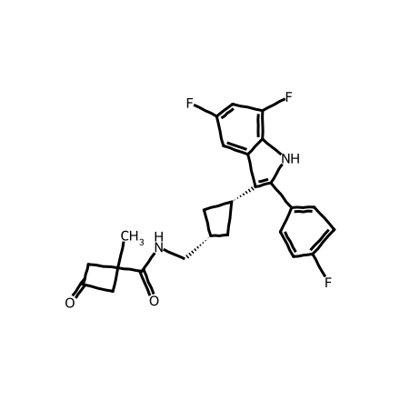 CC1(C(=O)NC[C@H]2C[C@@H](c3c(-c4ccc(F)cc4)[nH]c4c(F)cc(F)cc43)C2)CC(=O)C1